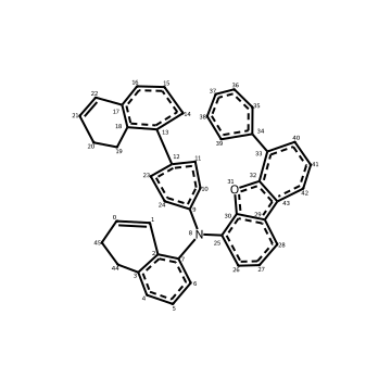 C1=Cc2c(cccc2N(c2ccc(-c3cccc4c3CCC=C4)cc2)c2cccc3c2oc2c(-c4ccccc4)cccc23)CC1